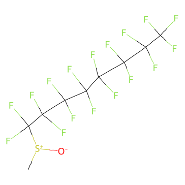 C[S+]([O-])C(F)(F)C(F)(F)C(F)(F)C(F)(F)C(F)(F)C(F)(F)C(F)(F)C(F)(F)F